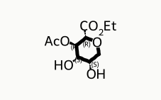 CCOC(=O)[C@@H]1OC[C@H](O)[C@H](O)[C@H]1OC(C)=O